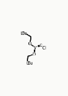 CC(C)(C)C[O][V+](=[O])[O]CC(C)(C)C.[Cl-]